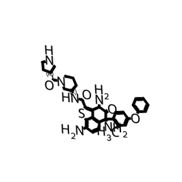 Cc1cc(Oc2ccccc2)ccc1C1(N)C(=O)C(N)c2c(C(=O)N[C@@H]3CCCN(C(=O)[C@@H]4CCNC4)C3)sc3c(N)ccc1c23